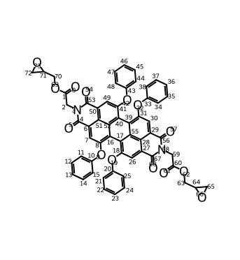 O=C(CN1C(=O)c2cc(Oc3ccccc3)c3c4c(Oc5ccccc5)cc5c6c(cc(Oc7ccccc7)c(c7c(Oc8ccccc8)cc(c2c37)C1=O)c64)C(=O)N(CC(=O)OCC1CO1)C5=O)OCC1CO1